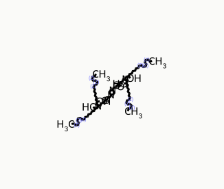 CC/C=C\C/C=C\C/C=C\CCCCCCC(O)CN(CCCSSCCN1CCN(CCOC(=O)CCCN(CC(O)CCCCCC/C=C\C/C=C\C/C=C\CC)CC(O)CCCCCC/C=C\C/C=C\C/C=C\CC)CC1)CC(O)CCCCCC/C=C\C/C=C\C/C=C\CC